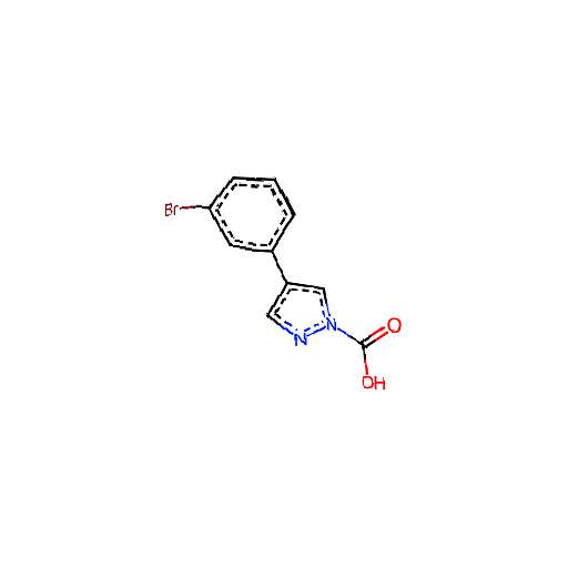 O=C(O)n1cc(-c2cccc(Br)c2)cn1